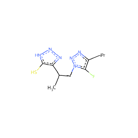 CC(C)c1nnn(CC(C)c2nn[nH]c2S)c1F